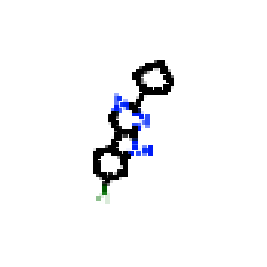 Clc1ccc2c(c1)[nH]c1nc(-c3ccccc3)ncc12